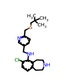 CC(C)(C)CSCc1ccc(CNc2c(Cl)ccc3c2CCNCC3)cn1